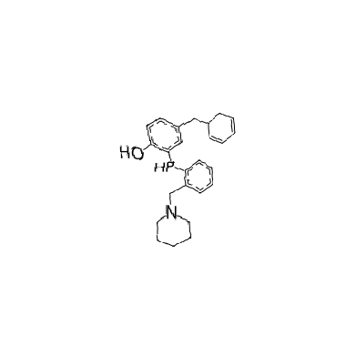 Oc1ccc(CC2C=CC=CC2)cc1Pc1ccccc1CN1CCCCC1